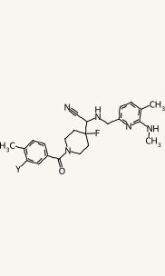 CNc1nc(CNC(C#N)C2(F)CCN(C(=O)c3ccc(C)[c]([Y])c3)CC2)ccc1C